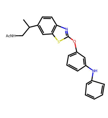 CC(=O)NCC(C)c1ccc2nc(Oc3cccc(Nc4ccccc4)c3)sc2c1